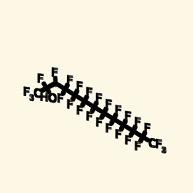 OC(F)([C](F)C(F)(F)C(F)(F)C(F)(F)C(F)(F)C(F)(F)C(F)(F)C(F)(F)C(F)(F)C(F)(F)C(F)(F)F)C(F)(F)F